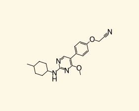 COc1nc(NC2CCC(C)CC2)ncc1-c1ccc(OCC#N)cc1